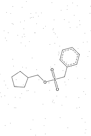 O=S(=O)(Cc1ccccc1)OCC1CCCC1